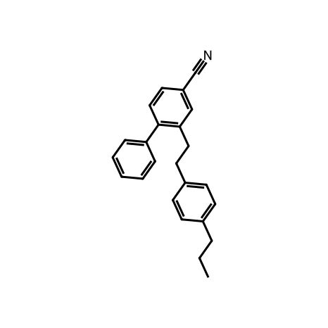 CCCc1ccc(CCc2cc(C#N)ccc2-c2ccccc2)cc1